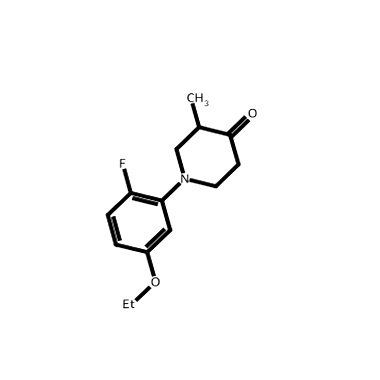 CCOc1ccc(F)c(N2CCC(=O)C(C)C2)c1